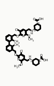 COc1nc(OCc2cccc(-c3cccc(COc4nc(OC)c(CN[C@H]5CCC[C@@H](C(=O)O)C5)cc4Cl)c3C)c2C)c(Cl)cc1CN[C@H]1CCC[C@@H](C(=O)O)C1